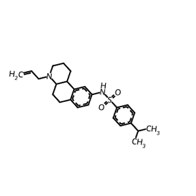 C=CCN1CCCC2c3cc(NS(=O)(=O)c4ccc(C(C)C)cc4)ccc3CCC21